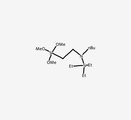 CCCCN(CC[Si](OC)(OC)OC)[Si](CC)(CC)CC